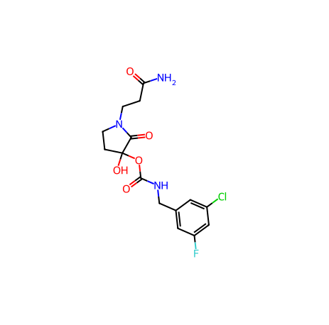 NC(=O)CCN1CCC(O)(OC(=O)NCc2cc(F)cc(Cl)c2)C1=O